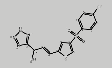 O=S(=O)(c1ccc(Cl)cc1)c1csc(C=CC(O)c2nn[nH]n2)c1